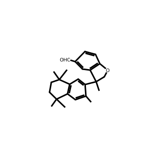 Cc1cc2c(cc1C1(C)COc3ccc(C=O)cc31)C(C)(C)CCC2(C)C